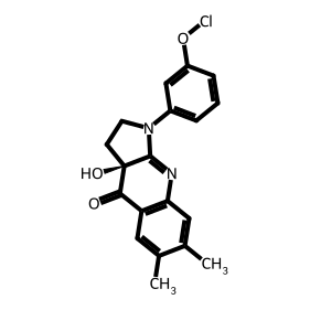 Cc1cc2c(cc1C)C(=O)[C@]1(O)CCN(c3cccc(OCl)c3)C1=N2